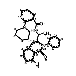 C[C@H](NC(=O)c1cccnc1N1CCCCC1)c1cc2cccc(Cl)c2c(=O)n1-c1ccccc1